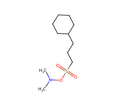 CN(C)OS(=O)(=O)CCCC1CCCCC1